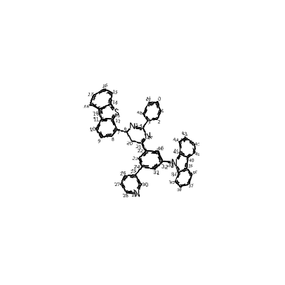 c1ccc(C2=NC(c3cccc4c3sc3ccccc34)CC(c3cc(-c4cccnc4)cc(-n4c5ccccc5c5ccccc54)c3)=N2)cc1